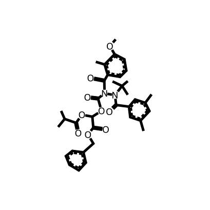 COc1cccc(C(=O)N(C(=O)OC(OC(=O)C(C)C)C(=O)OCc2ccccc2)N(C(=O)c2cc(C)cc(C)c2)C(C)(C)C)c1C